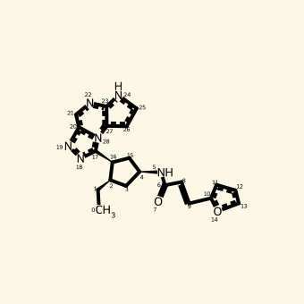 CC[C@@H]1C[C@H](NC(=O)/C=C/c2ccco2)C[C@@H]1c1nnc2cnc3[nH]ccc3n12